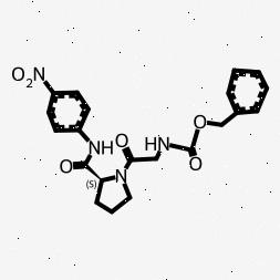 O=C(NCC(=O)N1CCC[C@H]1C(=O)Nc1ccc([N+](=O)[O-])cc1)OCc1ccccc1